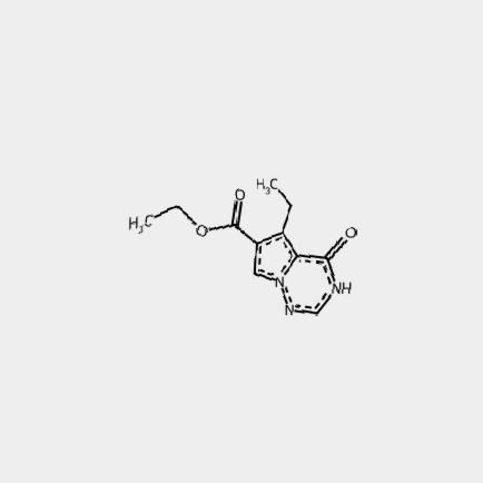 CCOC(=O)c1cn2nc[nH]c(=O)c2c1CC